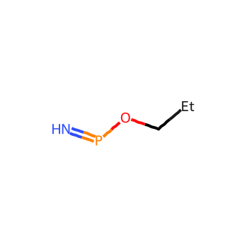 CCCOP=N